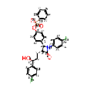 O=C1[C@H](CC[C@H](O)c2ccc(F)cc2)[C@@H](c2ccc(OS(=O)(=O)c3ccccc3)cc2)N1c1ccc(F)cc1